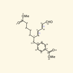 COC(=O)CCCCC(/C=C/C=C/C=O)Sc1ccc(C(=O)OC)cc1